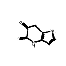 O=C1Cc2[nH]ccc2NC1=O